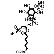 CCCCCCCCCCCCCCCC(=O)O[C@@H](COP(=O)(O)OC1C(O)[C@@H](O)C(O)[C@@H](OP(=O)(O)O)[C@H]1O)CSC(=O)CCC